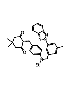 CCN(Cc1cc(C)cc(-n2nc3ccccc3n2)c1)c1ccc(C=C2C(=O)CC(C)(C)CC2=O)cc1